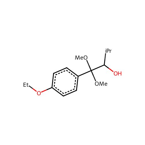 CCOc1ccc(C(OC)(OC)C(O)C(C)C)cc1